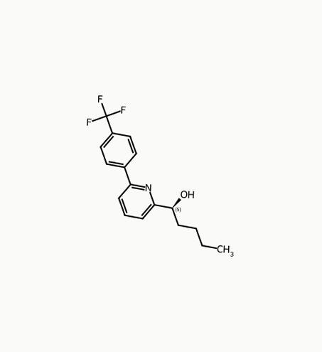 CCCC[C@H](O)c1cccc(-c2ccc(C(F)(F)F)cc2)n1